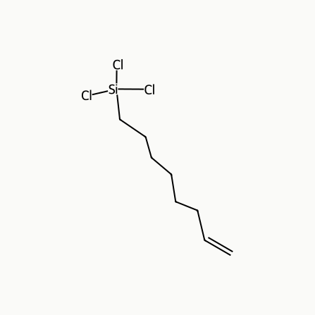 C=CCCCCCC[Si](Cl)(Cl)Cl